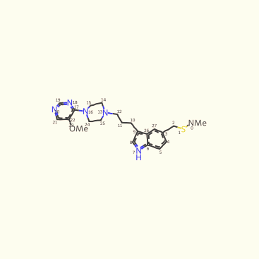 CNSCc1ccc2[nH]cc(CCCN3CCN(c4ncncc4OC)CC3)c2c1